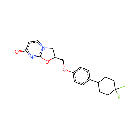 O=c1ccn2c(n1)O[C@H](COc1ccc(C3CCC(F)(F)CC3)cc1)C2